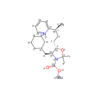 CC(C)[C@@H](CC[C@@H]1OC(C)(C)N(C(=O)OC(C)(C)C)[C@H]1CC1CCCCC1)c1ccccn1